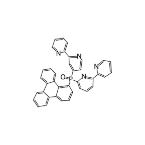 O=P(c1ccnc(-c2ccccn2)c1)(c1cccc(-c2ccccn2)n1)c1cccc2c3ccccc3c3ccccc3c12